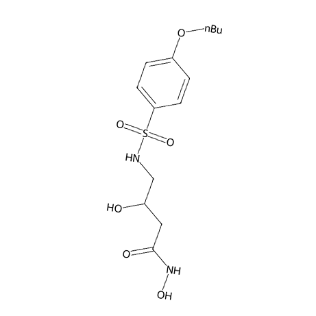 CCCCOc1ccc(S(=O)(=O)NCC(O)CC(=O)NO)cc1